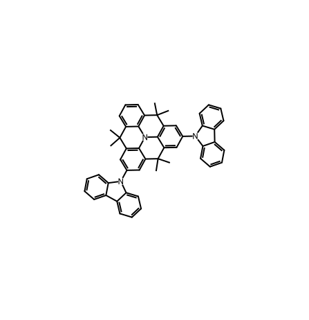 CC1(C)c2cccc3c2N2c4c1cc(-n1c5ccccc5c5ccccc51)cc4C(C)(C)c1cc(-n4c5ccccc5c5ccccc54)cc(c12)C3(C)C